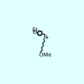 CCOc1ccc(CN(C)CCCCCCCOC)cc1